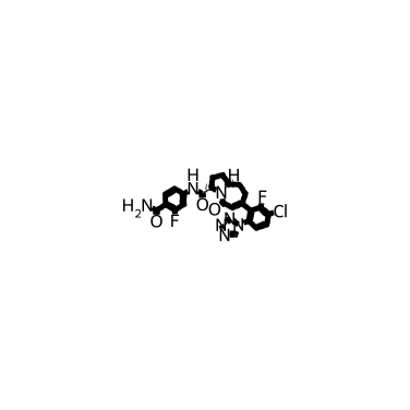 NC(=O)c1ccc(NC(=O)[C@@H]2CC[C@H]3CCC(c4c(-n5cnnn5)ccc(Cl)c4F)=CC(=O)N32)cc1F